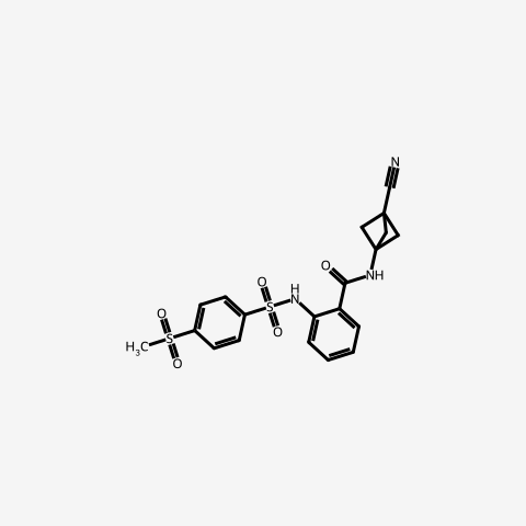 CS(=O)(=O)c1ccc(S(=O)(=O)Nc2ccccc2C(=O)NC23CC(C#N)(C2)C3)cc1